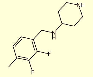 Cc1ccc(CNC2CCNCC2)c(F)c1F